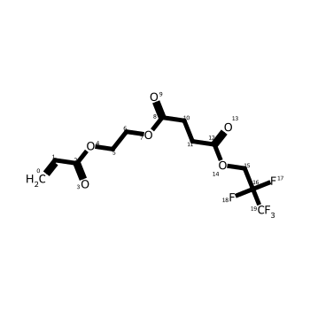 C=CC(=O)OCCOC(=O)CCC(=O)OCC(F)(F)C(F)(F)F